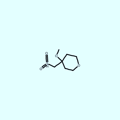 COC1(C[SH](=O)=O)CCOCC1